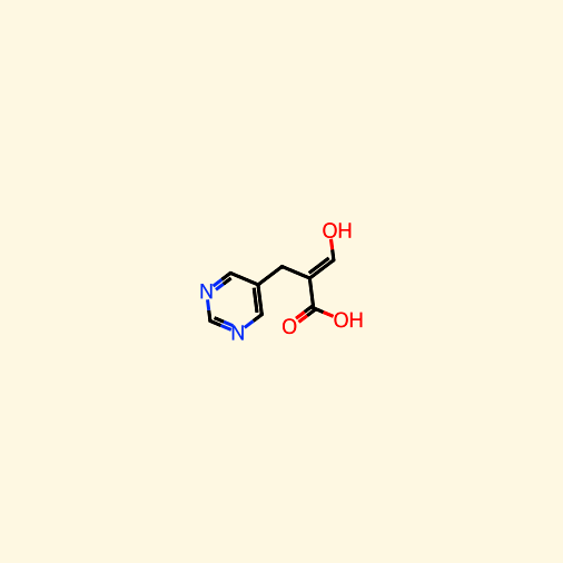 O=C(O)/C(=C/O)Cc1cncnc1